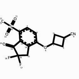 N#CC1CC(Oc2ccc(S(=O)(=O)C(F)(F)F)c3c2CC(F)(F)C3=O)C1